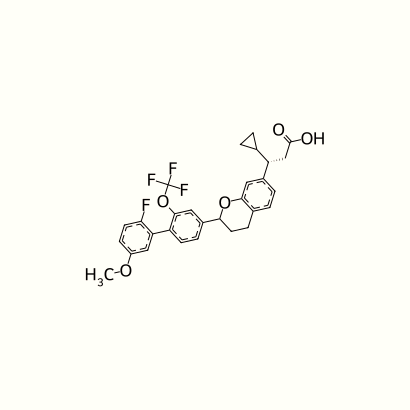 COc1ccc(F)c(-c2ccc(C3CCc4ccc([C@@H](CC(=O)O)C5CC5)cc4O3)cc2OC(F)(F)F)c1